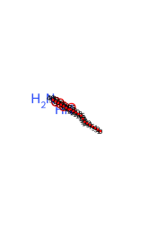 CCCCCCCCCCCCC#CC#CCCCCCCCCC(=O)NCCCOCCOCCOCCCN